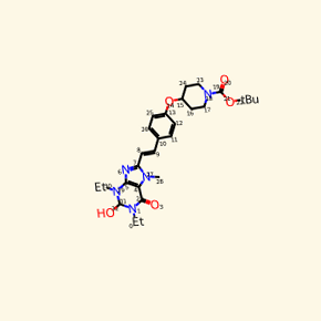 CCN1C(=O)c2c(nc(/C=C/c3ccc(OC4CCN(C(=O)OC(C)(C)C)CC4)cc3)n2C)N(CC)C1O